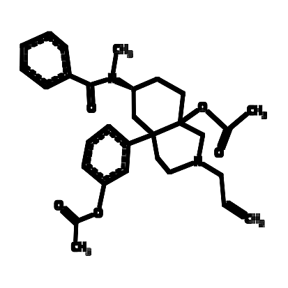 C=CCN1CCC2(c3cccc(OC(C)=O)c3)C[C@@H](N(C)C(=O)c3ccccc3)CCC2(OC(C)=O)C1